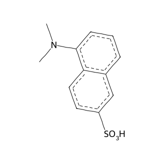 CN(C)c1cccc2cc(S(=O)(=O)O)ccc12